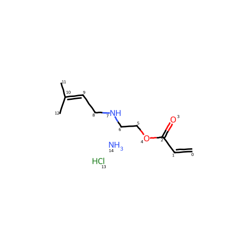 C=CC(=O)OCCNCC=C(C)C.Cl.N